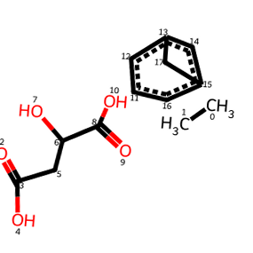 CC.O=C(O)CC(O)C(=O)O.c1cc2cc(c1)C2